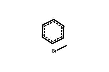 CBr.c1ccccc1